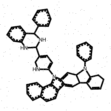 C1=CC2=C(CC1)N(c1ccccc1)C1C=c3c(c4ccc5ccccc5c4n3C3=CC=C(C4Nc5ccccc5C(c5ccccc5)N4)CN3)=CC21